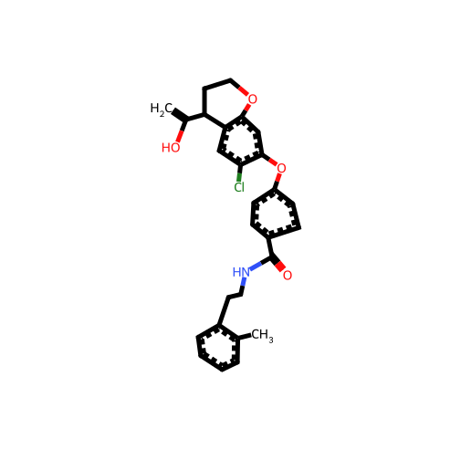 C=C(O)C1CCOc2cc(Oc3ccc(C(=O)NCCc4ccccc4C)cc3)c(Cl)cc21